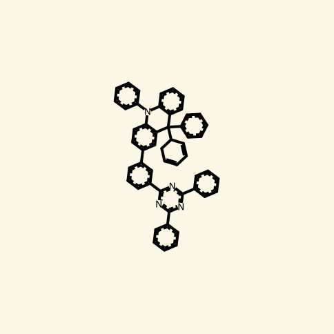 C1=CCC(C2(c3ccccc3)c3ccccc3N(c3ccccc3)c3ccc(-c4cccc(-c5nc(-c6ccccc6)nc(-c6ccccc6)n5)c4)cc32)C=C1